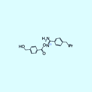 CC(C)Cc1ccc(/C(N)=N/OC(=O)c2ccc(CO)cc2)cc1